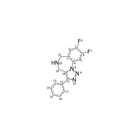 Fc1cc2c(cc1F)-n1nnc(-c3ccccc3)c1CNC2